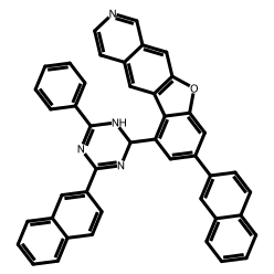 c1ccc(C2=NC(c3ccc4ccccc4c3)=NC(c3cc(-c4ccc5ccccc5c4)cc4oc5cc6cnccc6cc5c34)N2)cc1